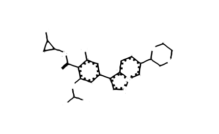 Cc1cc(-c2cnn3cc(C4COCCO4)ccc23)cc(OC(F)F)c1C(=O)NC1CC1F